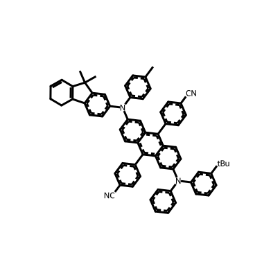 Cc1ccc(N(c2ccc3c(c2)C(C)(C)C2=C3CCC=C2)c2ccc3c(-c4ccc(C#N)cc4)c4cc(N(c5ccccc5)c5cccc(C(C)(C)C)c5)ccc4c(-c4ccc(C#N)cc4)c3c2)cc1